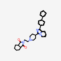 O=C1C2CCCCC2C(=O)N1CCN1CCC(c2nc(-c3ccc(-c4ccccc4)cc3)c3ccccn23)CC1